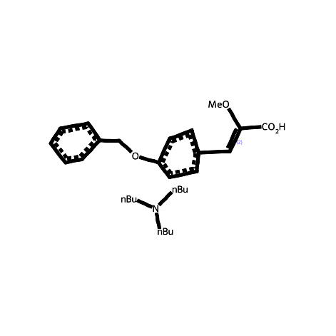 CCCCN(CCCC)CCCC.CO/C(=C\c1ccc(OCc2ccccc2)cc1)C(=O)O